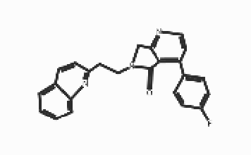 O=C1c2c(-c3ccc(F)cc3)ccnc2CN1CCc1ccc2ccccc2n1